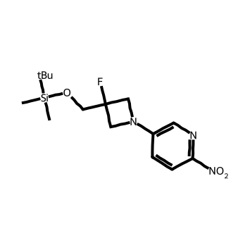 CC(C)(C)[Si](C)(C)OCC1(F)CN(c2ccc([N+](=O)[O-])nc2)C1